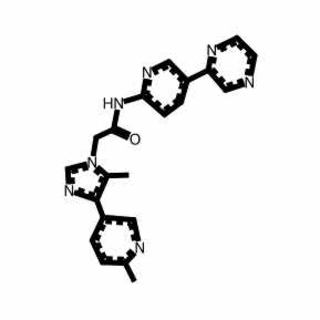 Cc1ccc(-c2ncn(CC(=O)Nc3ccc(-c4cnccn4)cn3)c2C)cn1